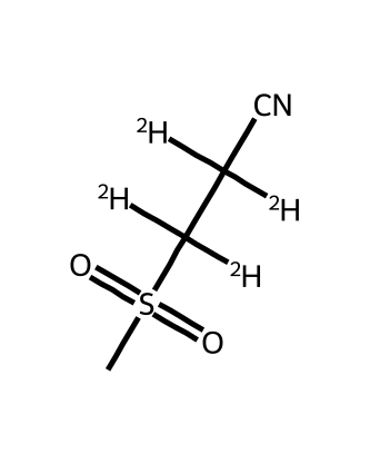 [2H]C([2H])(C#N)C([2H])([2H])S(C)(=O)=O